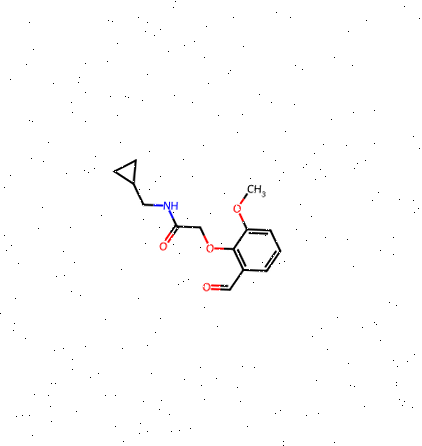 COc1cccc(C=O)c1OCC(=O)NCC1CC1